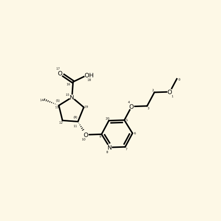 COCCOc1ccnc(O[C@@H]2C[C@H](C)N(C(=O)O)C2)c1